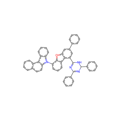 c1ccc(C2=NC(c3ccccc3)NC(c3cc(-c4ccccc4)cc4oc5c(-n6c7ccccc7c7c8ccccc8ccc76)cccc5c34)=N2)cc1